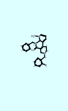 CN1C=CC=C2C3=C(CN(Cc4ccccc4Br)CC3)C(=O)N(Cc3ccccc3)C21